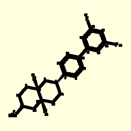 CCCCC1CC[C@@H]2C[C@H](c3ccc(-c4cc(F)cc(F)c4)cc3)CC[C@@H]2C1